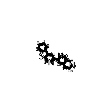 c1ccc2c(c1)sc1cnc(-c3cc4ccncc4cn3)cc12